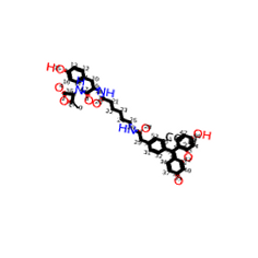 C[C@H]1OC(=O)[C@H]1NC(=O)C(Cc1ccc(O)cc1)NC(=O)CCCCCNC(=O)Cc1ccc(-c2c3ccc(=O)cc-3oc3cc(O)ccc23)c(C(=O)O)c1